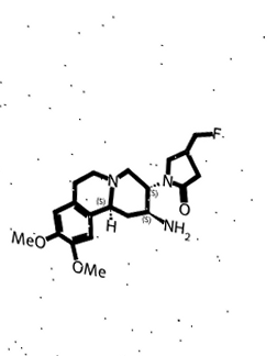 COc1cc2c(cc1OC)[C@@H]1C[C@H](N)[C@@H](N3CC(CF)CC3=O)CN1CC2